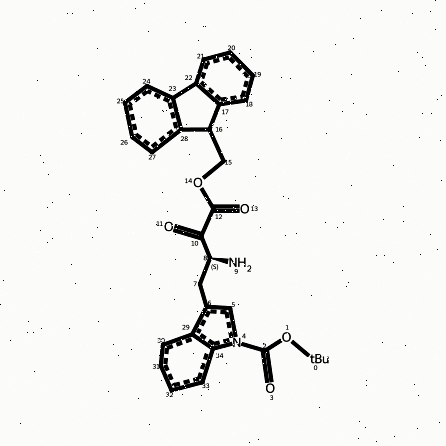 CC(C)(C)OC(=O)n1cc(C[C@H](N)C(=O)C(=O)OCC2c3ccccc3-c3ccccc32)c2ccccc21